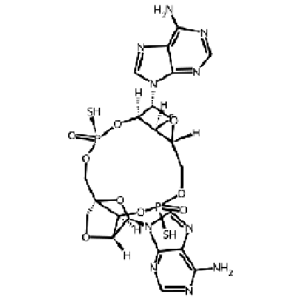 Nc1ncnc2c1ncn2[C@@H]1O[C@@H]2CO[P@@](=O)(S)O[C@H]3[C@H]4OC[C@]3(CO[P@@](=O)(S)O[C@@H]1[C@H]2F)O[C@H]4n1cnc2c(N)ncnc21